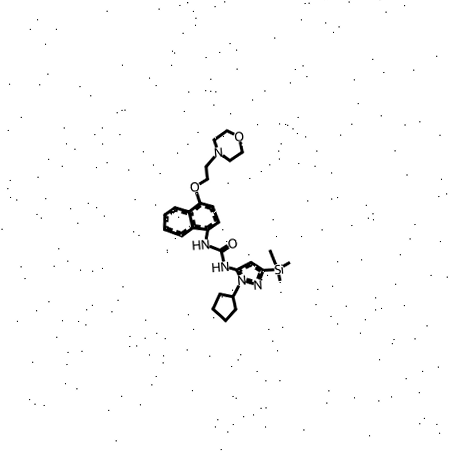 C[Si](C)(C)c1cc(NC(=O)Nc2ccc(OCCN3CCOCC3)c3ccccc23)n(C2CCCC2)n1